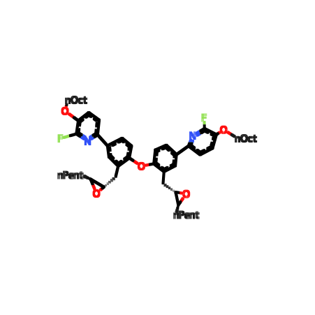 CCCCCCCCOc1ccc(-c2ccc(Oc3ccc(-c4ccc(OCCCCCCCC)c(F)n4)cc3C[C@@H]3O[C@H]3CCCCC)c(C[C@@H]3O[C@H]3CCCCC)c2)nc1F